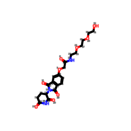 O=C(COc1ccc2c(c1)C(=O)N(C1CCC(=O)NC1=O)C2=O)NCCOCCOCCO